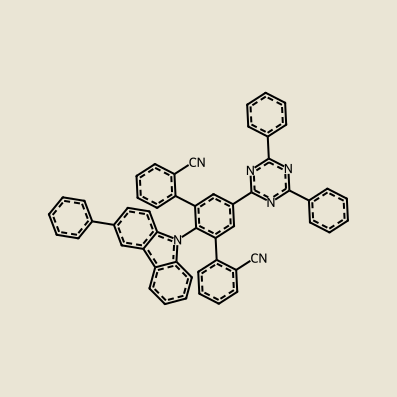 N#Cc1ccccc1-c1cc(-c2nc(-c3ccccc3)nc(-c3ccccc3)n2)cc(-c2ccccc2C#N)c1-n1c2ccccc2c2cc(-c3ccccc3)ccc21